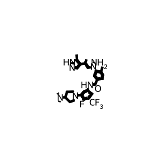 C/C(=C\N(N)c1cc(C(=O)Nc2cc(N3CCC(N(C)C)CC3)c(F)c(C(F)(F)F)c2)ccc1C)c1cn[nH]c1C